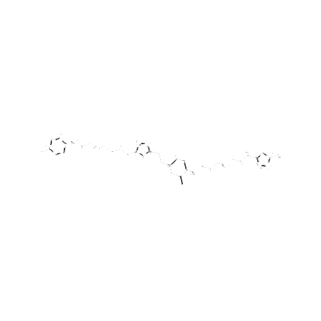 C=C1CC(CCc2cc(CCCCOCCOc3ccc(C)cc3)no2)=CC=C1OCCCOCCCc1cc(C)on1